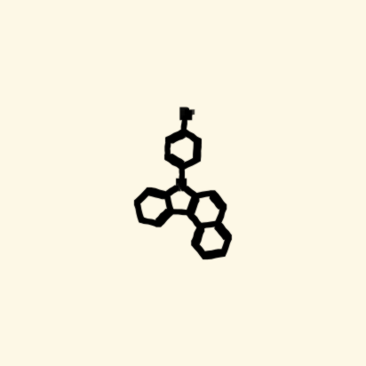 Brc1ccc(-n2c3c(c4c5ccccc5ccc42)=CCCC=3)cc1